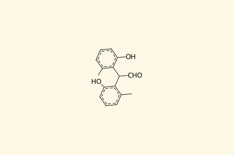 Cc1cccc(O)c1C(C=O)c1c(C)cccc1O